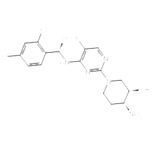 C[C@@H](Nc1nc(N2CC[C@H](N)[C@H](O)C2)ncc1F)c1ccc(Cl)cc1Cl